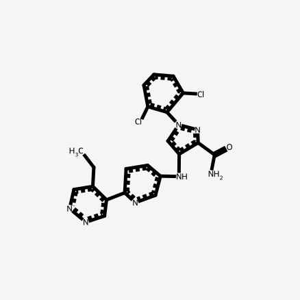 CCc1cnncc1-c1ccc(Nc2cn(-c3c(Cl)cccc3Cl)nc2C(N)=O)cn1